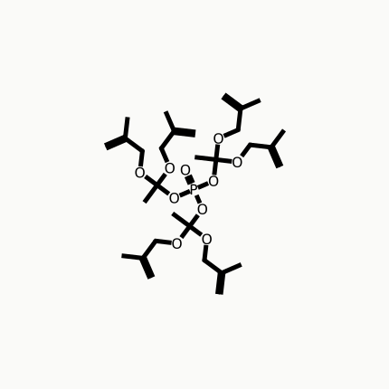 C=C(C)COC(C)(OCC(=C)C)OP(=O)(OC(C)(OCC(=C)C)OCC(=C)C)OC(C)(OCC(=C)C)OCC(=C)C